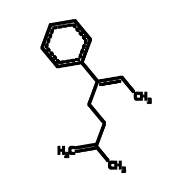 C=C(C)CCC(=CC)c1ccccc1